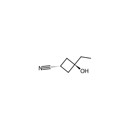 CC[C@]1(O)C[C@H](C#N)C1